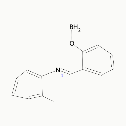 BOc1ccccc1/C=N/c1ccccc1C